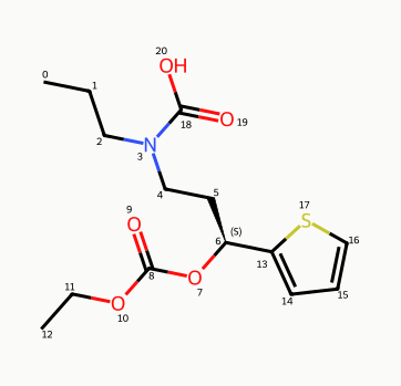 CCCN(CC[C@H](OC(=O)OCC)c1cccs1)C(=O)O